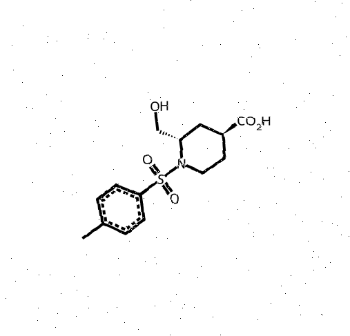 Cc1ccc(S(=O)(=O)N2CC[C@H](C(=O)O)C[C@H]2CO)cc1